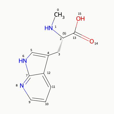 CN[C@@H](Cc1c[nH]c2ncccc12)C(=O)O